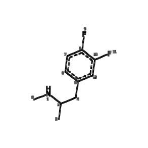 CNC(C)Cc1ccc(F)c(F)c1